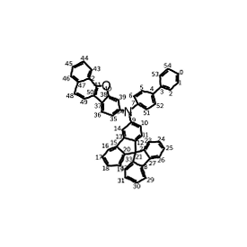 c1ccc(-c2ccc(N(c3ccc4c(c3)-c3ccccc3C43c4ccccc4-c4ccccc43)c3ccc4c(c3)oc3c5ccccc5ccc43)cc2)cc1